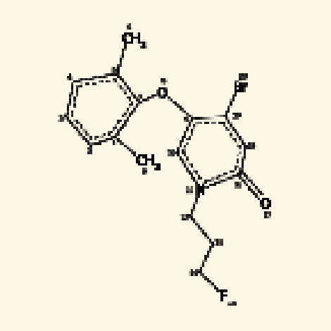 Cc1cccc(C)c1Oc1cn(CCCF)c(=O)cc1Br